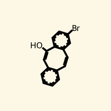 OC1=Cc2ccccc2/C=C\c2cc(Br)ccc21